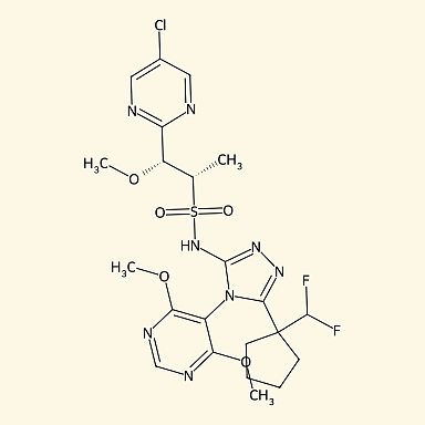 COc1ncnc(OC)c1-n1c(NS(=O)(=O)[C@@H](C)[C@H](OC)c2ncc(Cl)cn2)nnc1C1(C(F)F)CCCC1